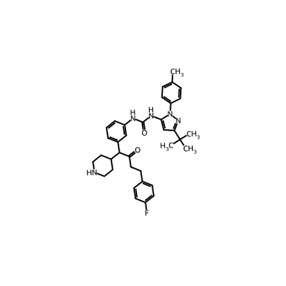 Cc1ccc(-n2nc(C(C)(C)C)cc2NC(=O)Nc2cccc(C(C(=O)CCc3ccc(F)cc3)C3CCNCC3)c2)cc1